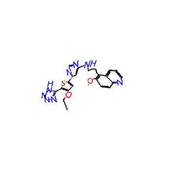 CCOc1cc(-c2cc(NCCc3c(OC)ccc4ncccc34)ncn2)sc1-c1nnn[nH]1